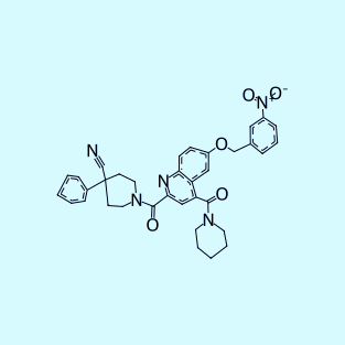 N#CC1(c2ccccc2)CCN(C(=O)c2cc(C(=O)N3CCCCC3)c3cc(OCc4cccc([N+](=O)[O-])c4)ccc3n2)CC1